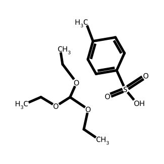 CCOC(OCC)OCC.Cc1ccc(S(=O)(=O)O)cc1